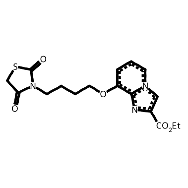 CCOC(=O)c1cn2cccc(OCCCCN3C(=O)CSC3=O)c2n1